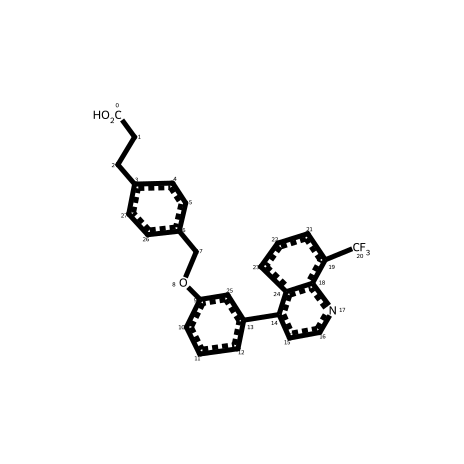 O=C(O)CCc1ccc(COc2cccc(-c3ccnc4c(C(F)(F)F)cccc34)c2)cc1